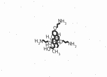 C[C@H](CO)[C@H]1CC[C@H]2[C@@H]3[C@H](OCCCN)C[C@@H]4C[C@H](OCCCN)CC[C@]4(C)[C@H]3C[C@H](OCCCN)[C@]12C